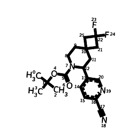 CC(C)(C)OC(=O)N1CCC2(CC1c1ccc(C#N)nc1)CC(F)(F)C2